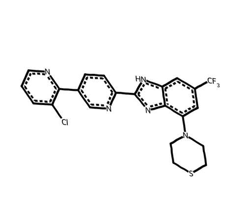 FC(F)(F)c1cc(N2CCSCC2)c2nc(-c3ccc(-c4ncccc4Cl)cn3)[nH]c2c1